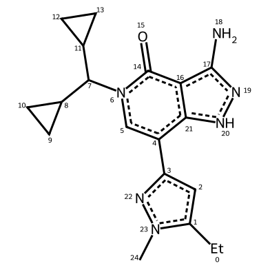 CCc1cc(-c2cn(C(C3CC3)C3CC3)c(=O)c3c(N)n[nH]c23)nn1C